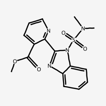 COC(=O)c1cccnc1-c1nc2ccccc2n1S(=O)(=O)N(C)C